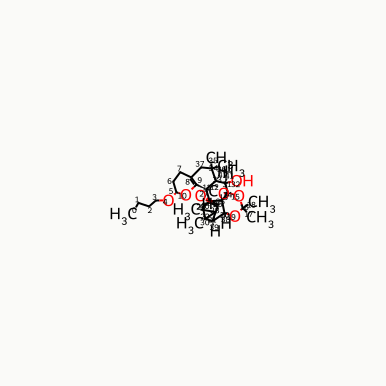 CCCCO[C@H]1CCC2=C(O1)[C@@]13CO[C@]4(OC(C)(C)O[C@@H]5[C@H]6CC[C@@H]1[C@]54C(=O)C6(C)C)[C@@H](O)[C@@H]3C(C)(C)C2